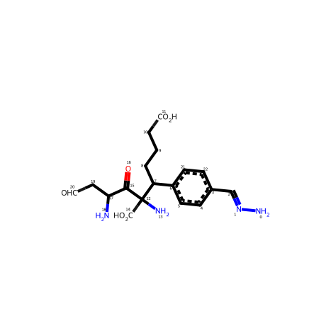 NN=Cc1ccc(C(CCCC(=O)O)C(N)(C(=O)O)C(=O)C(N)CC=O)cc1